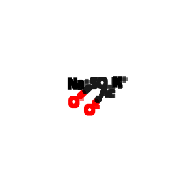 CC(=O)[O-].O=S(=O)([O-])O.[K+].[Na+]